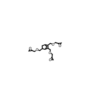 C(OCC1CC2CC1C(COCC1CO1)C2COCC1CO1)C1CO1